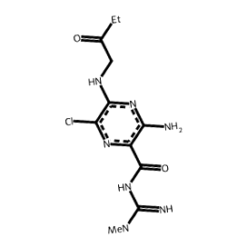 CCC(=O)CNc1nc(N)c(C(=O)NC(=N)NC)nc1Cl